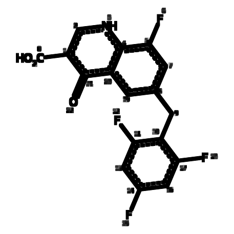 O=C(O)c1c[nH]c2c(F)cc(Cc3c(F)cc(F)cc3F)cc2c1=O